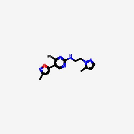 Cc1cc(-c2cnc(NCCn3nccc3C)nc2C(C)C)on1